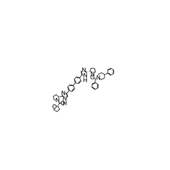 O=C([C@H]1CCCO1)N1CCC[C@H]1c1nc(-c2ccc(-c3ccc(-c4cnc([C@@H]5CCCN5OC(c5ccccc5)N5CCC(c6ccccc6)CC5)[nH]4)cc3)cc2)c[nH]1